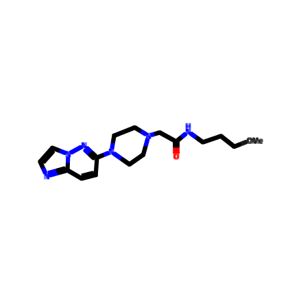 COCCCNC(=O)CN1CCN(c2ccc3nccn3n2)CC1